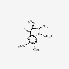 COc1cc2c(cc1OC)N(C(=O)O)C(C)/C(=C/N)C2=O